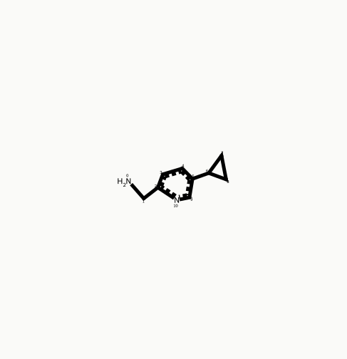 NCc1ccc(C2CC2)[c]n1